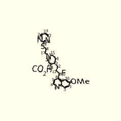 COc1ccc2nccc([C@@H](F)CC[C@@H]3CCN(CCSc4ncccn4)C[C@@H]3C(=O)O)c2c1